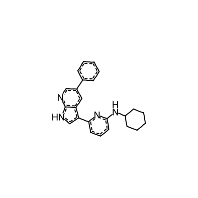 c1ccc(-c2cnc3[nH]cc(-c4cccc(NC5CCCCC5)n4)c3c2)cc1